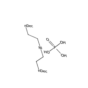 CCCCCCCCCCC[CH2][Ni][CH2]CCCCCCCCCCC.O=P(O)(O)O